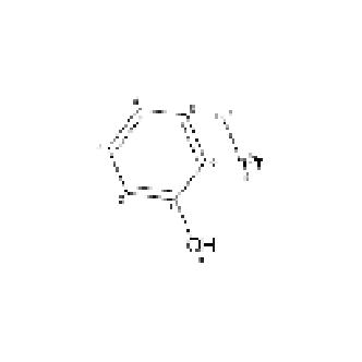 Oc1ccccc1.[CH2]CC[CH2]